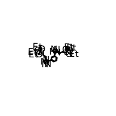 CCO[Si](CCCn1nnnc1-c1cccc(-c2nnnn2CCC[Si](OCC)(OCC)OCC)c1)(OCC)OCC